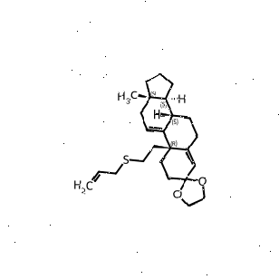 C=CCSCC[C@]12CCC3(C=C1CC[C@@H]1C2=CC[C@]2(C)CCC[C@@H]12)OCCO3